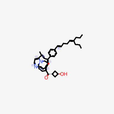 CCCC(=CCC/C=C/c1ccc(C2=C/C/C=C/N=C\C=C(N3CC/C=C(\C(=O)[C@H]4C[C@H](O)C4)CCC3)\C(C)=C\2)cc1)CCC